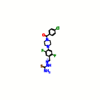 NC(=S)N/N=C/c1cc(F)c(N2CCN(C(=O)c3ccc(Cl)cc3)CC2)cc1F